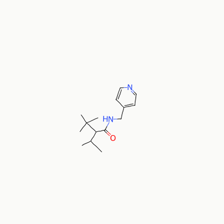 CC(C)C(C(=O)NCc1ccncc1)C(C)(C)C